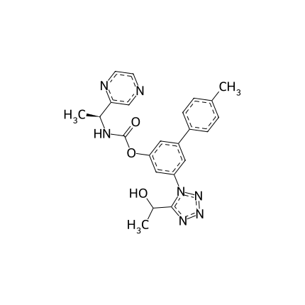 Cc1ccc(-c2cc(OC(=O)N[C@@H](C)c3cnccn3)cc(-n3nnnc3C(C)O)c2)cc1